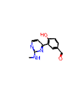 CNc1nccc(-c2cc(C=O)ccc2O)n1